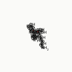 CC[C@H](C)[C@@H]([C@@H](CC(=O)N1CCC[C@H]1[C@H](OC)[C@@H](C)C(=O)N[C@H](C)[C@@H](O)c1ccccc1)OC)N(C)C(=O)[C@@H](NC(=O)[C@H](C(C)C)N(C)C(=O)OCc1cc(NC(=O)CNC(=O)CNC(=O)CON)ccc1O[C@@H]1OC(C(=O)O)[C@@H](O)[C@H](O)C1O)C(C)C